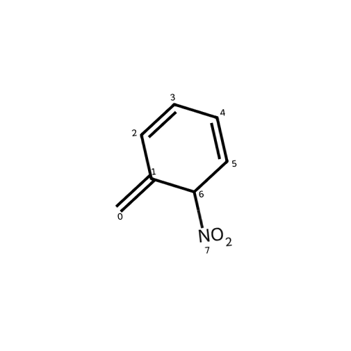 C=C1C=CC=CC1[N+](=O)[O-]